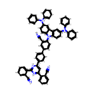 N#Cc1ccccc1-c1cc(-c2ccc(-c3ccc(-n4c5ccc(N(c6ccccc6)c6ccccc6)cc5c5cc(N(c6ccccc6)c6ccccc6)ccc54)c(C#N)c3)cc2)nc(-c2ccccc2C#N)n1